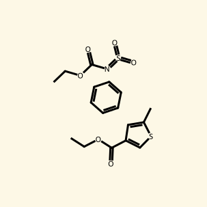 CCOC(=O)N=S(=O)=O.CCOC(=O)c1csc(C)c1.c1ccccc1